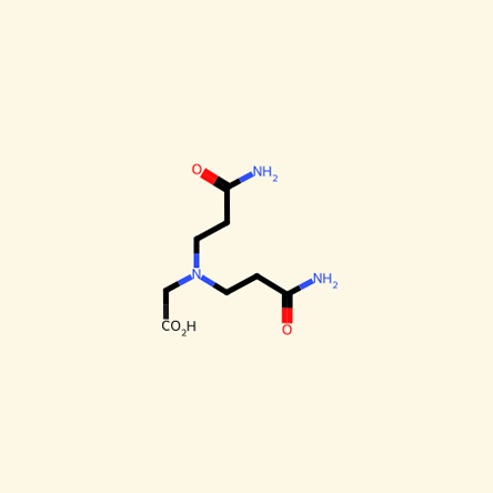 NC(=O)CCN(CCC(N)=O)CC(=O)O